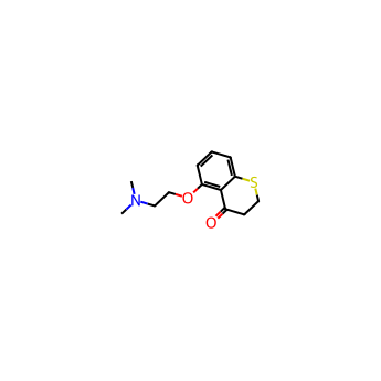 CN(C)CCOc1cccc2c1C(=O)CCS2